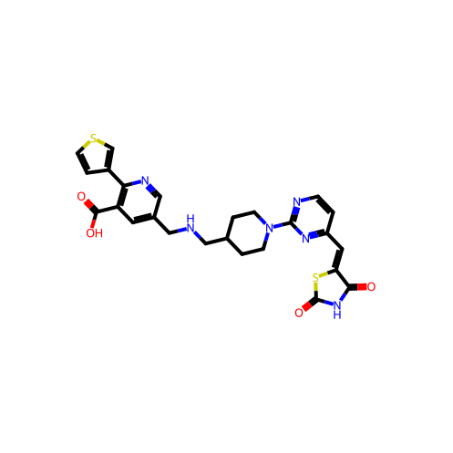 O=C1NC(=O)C(=Cc2ccnc(N3CCC(CNCc4cnc(-c5ccsc5)c(C(=O)O)c4)CC3)n2)S1